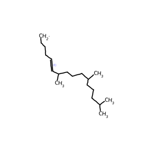 [CH2]CCC/C=C/C(C)CCCC(C)CCCC(C)C